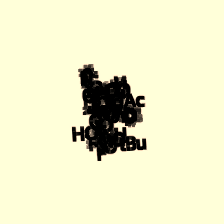 CC(=O)O[C@@]12CO[C@@H]1CC[C@@]1(C)[C@@H]3O[C@H](CN4CCC4)O[C@@H]3C3=C(C)[C@@H](OC(=O)[C@H](O)[C@@H](NC(=O)OC(C)(C)C)[C@@H](F)CF)C[C@@](O)([C@@H](OC(=O)c4ccccc4)[C@@H]12)C3(C)C